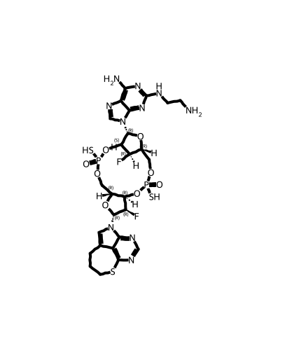 NCCNc1nc(N)c2ncn([C@@H]3O[C@@H]4COP(=O)(S)O[C@H]5[C@@H](F)[C@H](n6cc7c8c(ncnc86)SCCC7)O[C@@H]5COP(=O)(S)O[C@@H]3[C@@H]4F)c2n1